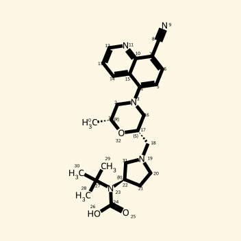 C[C@@H]1CN(c2ccc(C#N)c3ncccc23)C[C@H](CN2CC[C@@H](N(C(=O)O)C(C)(C)C)C2)O1